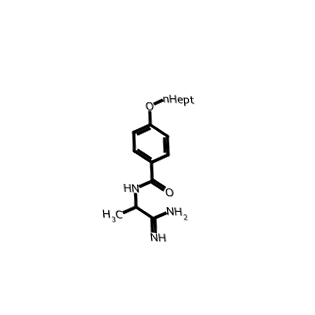 CCCCCCCOc1ccc(C(=O)NC(C)C(=N)N)cc1